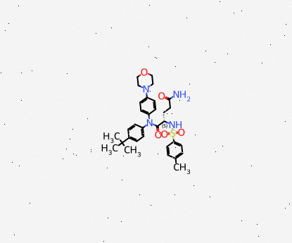 Cc1ccc(S(=O)(=O)N[C@@H](CCC(N)=O)C(=O)N(c2ccc(N3CCOCC3)cc2)c2ccc(C(C)(C)C)cc2)cc1